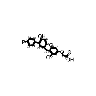 O=C(O)COc1cc(Cl)c(Cc2ccc(O)c(-c3ccc(F)cc3)c2)c(Cl)c1